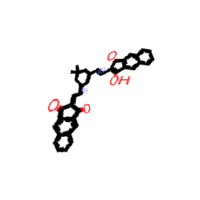 CC1(C)CC(/C=C/C2=C(O)c3cc4ccccc4cc3C2=O)=CC(=C/C=C2C(=O)c3cc4ccccc4cc3C2=O)/C1